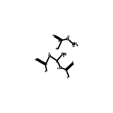 C=C(C)OC(O)OC(=C)C.C=C(C)O[SiH3]